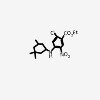 CCOC(=O)c1cc([N+](=O)[O-])c(NC2CC(C)CC(C)(C)C2)cc1Cl